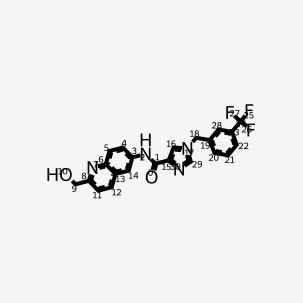 O=C(Nc1ccc2nc(CO)ccc2c1)c1cn(Cc2cccc(C(F)(F)F)c2)cn1